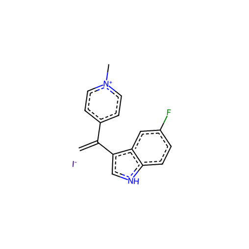 C=C(c1cc[n+](C)cc1)c1c[nH]c2ccc(F)cc12.[I-]